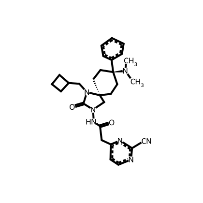 CN(C)[C@]1(c2ccccc2)CC[C@]2(CC1)CN(NC(=O)Cc1ccnc(C#N)n1)C(=O)N2CC1CCC1